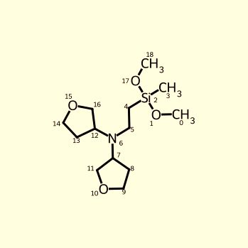 CO[Si](C)(CCN(C1CCOC1)C1CCOC1)OC